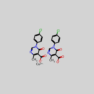 Cc1ncn(-c2ccc(Cl)cc2)c(=O)c1C(=O)[O-].Cc1ncn(-c2ccc(Cl)cc2)c(=O)c1C(=O)[O-].[Cu+2]